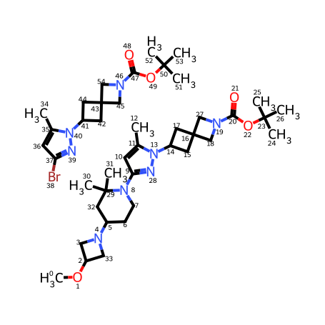 COC1CN(C2CCN(c3cc(C)n(C4CC5(C4)CN(C(=O)OC(C)(C)C)C5)n3)C(C)(C)C2)C1.Cc1cc(Br)nn1C1CC2(C1)CN(C(=O)OC(C)(C)C)C2